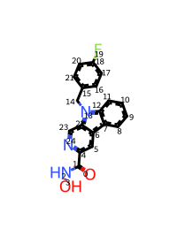 O=C(NO)c1cc2c3ccccc3n(Cc3ccc(F)cc3)c2cn1